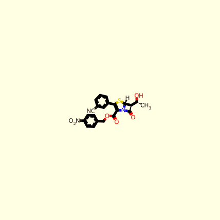 C[C@@H](O)[C@H]1C(=O)N2C(C(=O)OCc3ccc([N+](=O)[O-])cc3)=C(c3cccc(C#N)c3)S[C@H]12